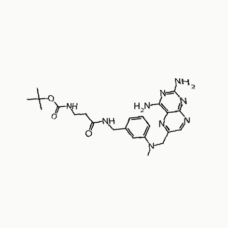 CN(Cc1cnc2nc(N)nc(N)c2n1)c1cccc(CNC(=O)CCNC(=O)OC(C)(C)C)c1